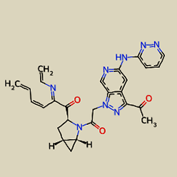 C=C/C=C\C(=N/C=C)C(=O)[C@@H]1C[C@H]2C[C@H]2N1C(=O)Cn1nc(C(C)=O)c2cc(Nc3cccnn3)ncc21